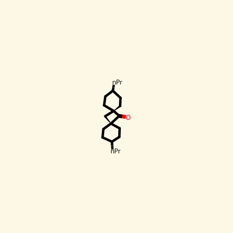 CCCC1CC[C@]2(CC1)C[C@@]1(CCC(CCC)CC1)C2=O